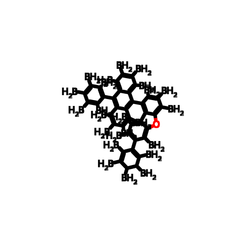 BC1=C(B)C(B)C(B)C(B)=C1c1c(B)c(B)c2c(oc3c(B)c(B)c(B)c(-c4c5c(B)c(B)c(B)c(B)c5c(-c5c(B)c(B)c(B)c(B)c5B)c5c(B)c(B)c(B)c(B)c45)c32)c1B